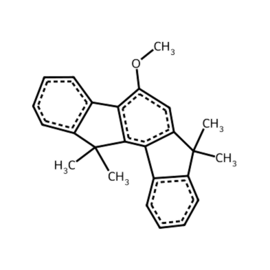 COc1cc2c(c3c1-c1ccccc1C3(C)C)-c1ccccc1C2(C)C